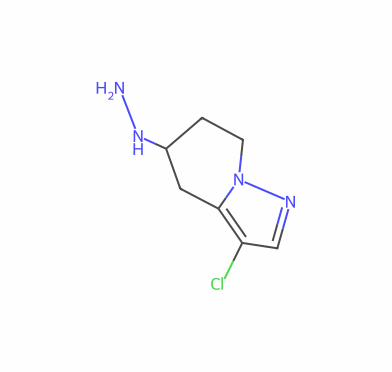 NNC1CCn2ncc(Cl)c2C1